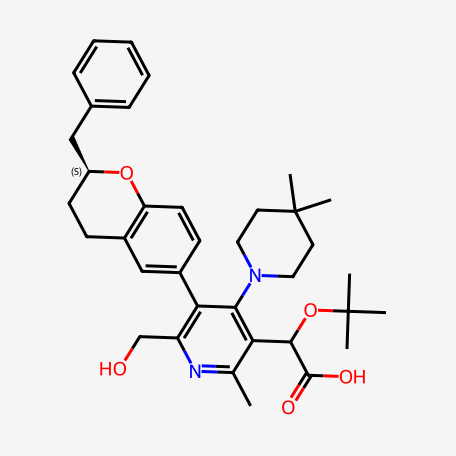 Cc1nc(CO)c(-c2ccc3c(c2)CC[C@@H](Cc2ccccc2)O3)c(N2CCC(C)(C)CC2)c1C(OC(C)(C)C)C(=O)O